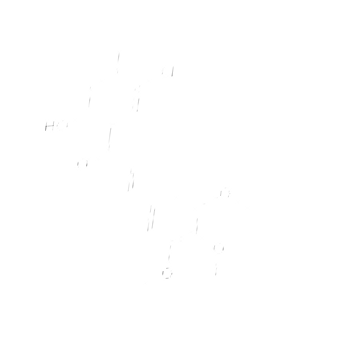 COc1cc(/C=C/C(=O)c2cc(Cl)c(C)cc2O)cc(OC)c1OC